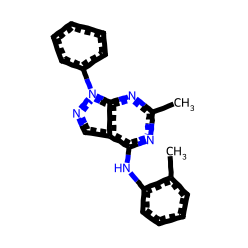 Cc1nc(Nc2ccccc2C)c2cnn(-c3ccccc3)c2n1